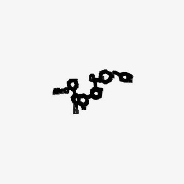 COc1ccccc1-c1c[nH]c2ncc(-c3cccc(C(=O)N4CCN(Cc5ccncc5)CC4)c3)cc12